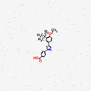 CCOc1ccc(-c2cnc(-c3ccc(C(=O)O)cc3)s2)cc1C(C)(C)C